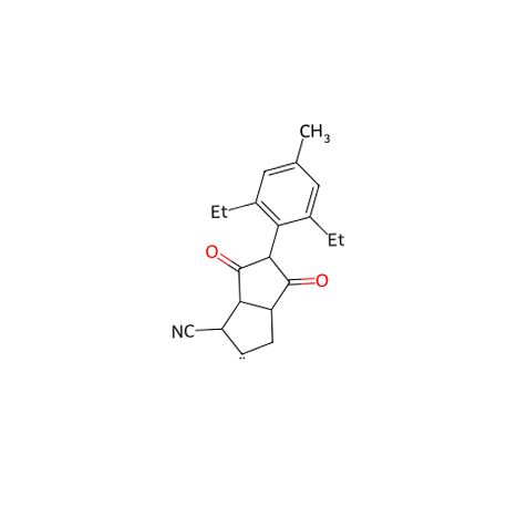 CCc1cc(C)cc(CC)c1C1C(=O)C2C[C]C(C#N)C2C1=O